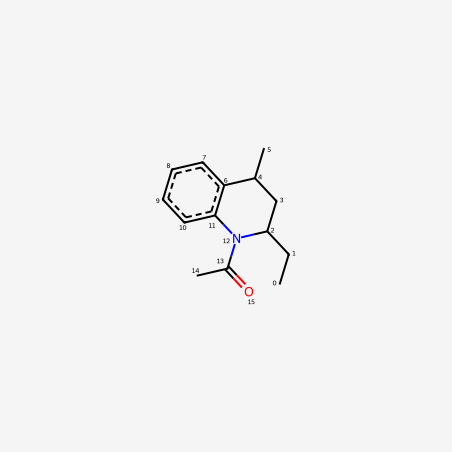 CCC1CC(C)c2ccccc2N1C(C)=O